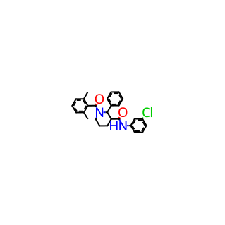 Cc1cccc(C)c1C(=O)N1CCCC(C(=O)Nc2cccc(Cl)c2)C1c1ccccc1